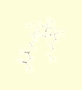 COCOC[Si](C)(C)O[Si](C)(C)O[Si](C)(C)COCOC(=O)CC(C)=O